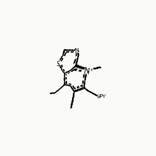 Cc1c(C)c2scnc2[n+](C)c1C(C)C